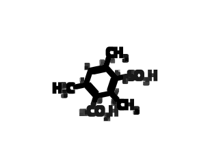 Cc1cc(C)c(S(=O)(=O)O)c(C)c1C(=O)O